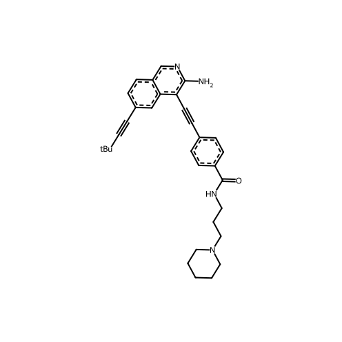 CC(C)(C)C#Cc1ccc2cnc(N)c(C#Cc3ccc(C(=O)NCCCN4CCCCC4)cc3)c2c1